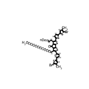 C=C=C=C=C=C=C=C=C=C=C=Cc1c(-c2ccc(-c3cc(C)c(Br)s3)s2)sc2c1C(=O)c1c-2sc(-c2ccc(-c3cc(C)c(Br)s3)s2)c1CCCCCCCCCCCC